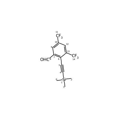 C[Si](C)(C)C#Cc1c(C=O)cc(C(F)(F)F)cc1C(F)(F)F